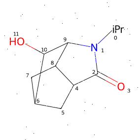 CC(C)N1C(=O)C2CC3CC2C1C3O